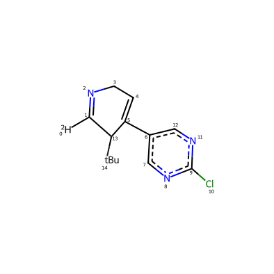 [2H]C1=NCC=C(c2cnc(Cl)nc2)C1C(C)(C)C